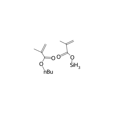 C=C(C)C(=O)OCCCC.C=C(C)C(=O)O[SiH3]